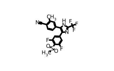 Cc1cc(-c2[nH]c(C(F)(F)F)nc2-c2cc(F)c(S(C)(=O)=O)c(F)c2)ccc1C#N